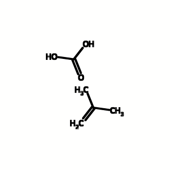 C=C(C)C.O=C(O)O